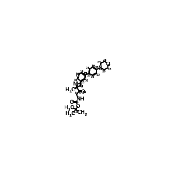 CC(C)(C)OC(=O)NCC(=O)C(C)(N)Cc1cncc(-c2ccc(N3CCOCC3)cc2)c1